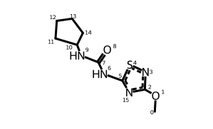 COc1nsc(NC(=O)NC2CCCC2)n1